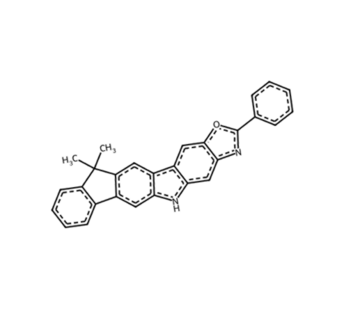 CC1(C)c2ccccc2-c2cc3[nH]c4cc5nc(-c6ccccc6)oc5cc4c3cc21